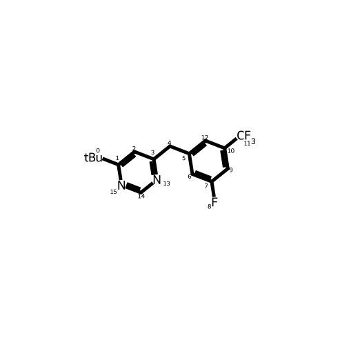 CC(C)(C)c1cc(Cc2cc(F)cc(C(F)(F)F)c2)ncn1